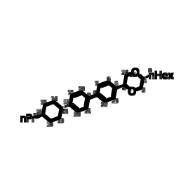 CCCCCC[C@@H]1CO[C@@H](c2ccc(-c3ccc([C@H]4CC[C@H](CCC)CC4)cc3)cc2)CO1